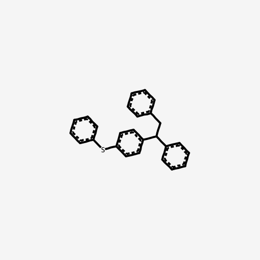 c1ccc(CC(c2ccccc2)c2ccc(Sc3ccccc3)cc2)cc1